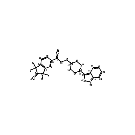 CC1(C)C(=O)C(C)(C)c2cc(C(=O)CCN3CCN(c4snc5ccccc45)CC3)ccc21